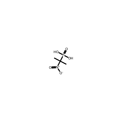 CC(C)([N+](=O)[O-])P(=O)(O)O